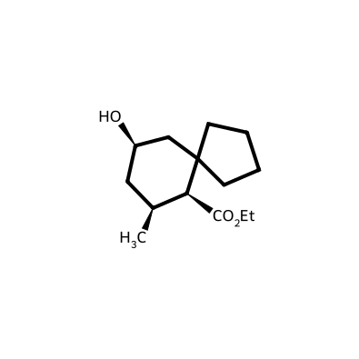 CCOC(=O)[C@H]1[C@@H](C)C[C@@H](O)CC12CCCC2